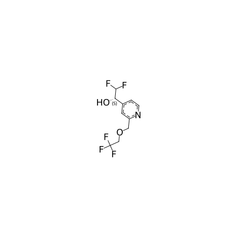 O[C@@H](c1ccnc(COCC(F)(F)F)c1)C(F)F